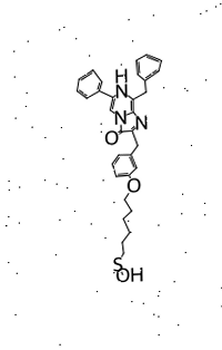 O=c1c(Cc2cccc(OCCCCCCSO)c2)nc2c(Cc3ccccc3)[nH]c(-c3ccccc3)cn1-2